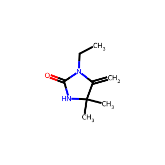 C=C1N(CC)C(=O)NC1(C)C